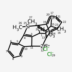 CC(C)C1=C2c3ccccc3[CH]1[Zr+2][CH]1C(C(C)C)=C(c3ccccc31)[Si]2(C)C.[Cl-].[Cl-]